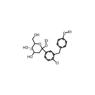 CCOc1ccc(Cc2cc(C3(OCC)CC(O)[C@H](O)C(CO)O3)ccc2Cl)cc1